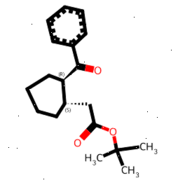 CC(C)(C)OC(=O)C[C@@H]1CCCC[C@H]1C(=O)c1ccccc1